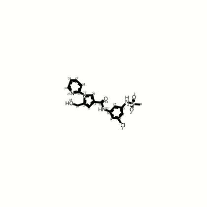 CS(=O)(=O)Nc1cc(Cl)cc(NC(=O)c2cc(CO)n(-c3ccccn3)c2)c1